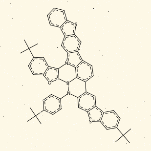 CC(C)(C)c1ccc(N2B3c4oc5ccc(C(C)(C)C)cc5c4-n4c5cc6c(cc5c5ccc(c3c54)-c3cc4c(cc32)sc2cc(C(C)(C)C)ccc24)sc2ccccc26)cc1